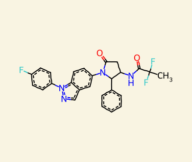 CC(F)(F)C(=O)NC1CC(=O)N(c2ccc3c(cnn3-c3ccc(F)cc3)c2)C1c1ccccc1